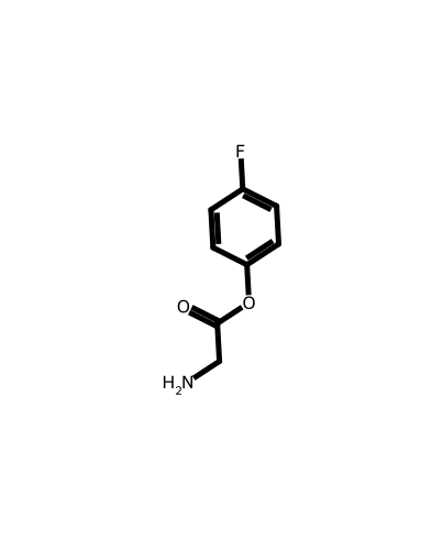 NCC(=O)Oc1ccc(F)cc1